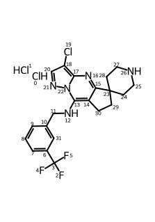 Cl.Cl.FC(F)(F)c1cccc(CNc2c3c(nc4c(Cl)cnn24)C2(CCNCC2)CC3)c1